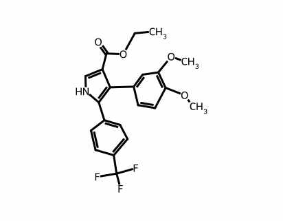 CCOC(=O)c1c[nH]c(-c2ccc(C(F)(F)F)cc2)c1-c1ccc(OC)c(OC)c1